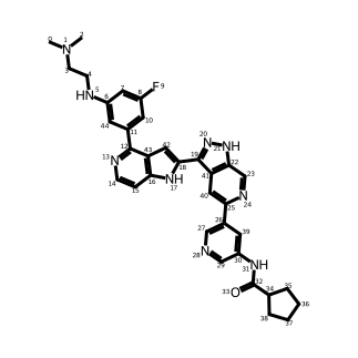 CN(C)CCNc1cc(F)cc(-c2nccc3[nH]c(-c4n[nH]c5cnc(-c6cncc(NC(=O)C7CCCC7)c6)cc45)cc23)c1